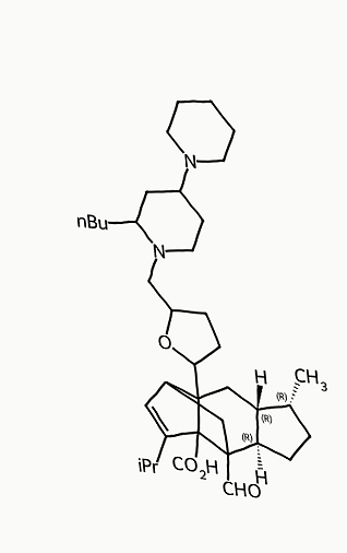 CCCCC1CC(N2CCCCC2)CCN1CC1CCC(C23C[C@@H]4[C@H](C)CC[C@H]4C4(C=O)CC2C=C(C(C)C)C34C(=O)O)O1